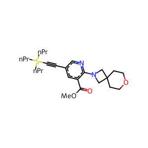 CCCS(C#Cc1cnc(N2CC3(CCOCC3)C2)c(C(=O)OC)c1)(CCC)CCC